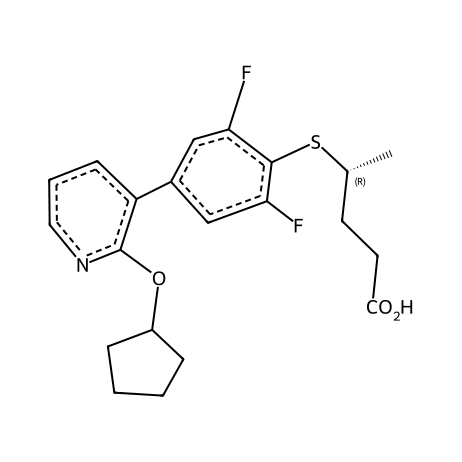 C[C@H](CCC(=O)O)Sc1c(F)cc(-c2cccnc2OC2CCCC2)cc1F